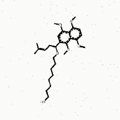 COc1ccc(OC)c2c(OC)c(C(CC=C(C)C)OCCCCCCCCO)cc(OC)c12